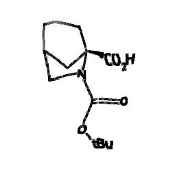 CC(C)(C)OC(=O)N1CC2CC[C@@]1(C(=O)O)C2